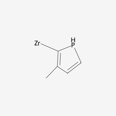 Cc1cc[pH][c]1[Zr]